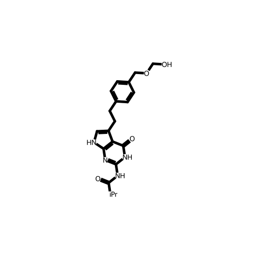 CC(C)C(=O)Nc1nc2[nH]cc(CCc3ccc(COCO)cc3)c2c(=O)[nH]1